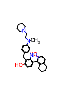 CN(CCN1CCCCC1)c1ccc(Cc2c(O)ccc(-c3c(O)ccc4c3CCCC4)c2N)cc1